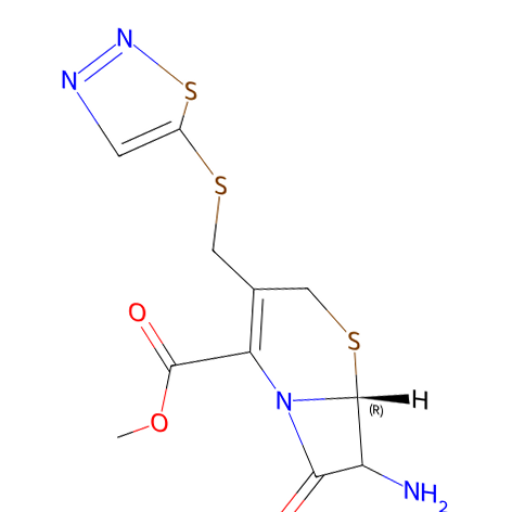 COC(=O)C1=C(CSc2cnns2)CS[C@@H]2C(N)C(=O)N12